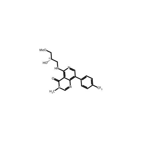 COC[C@@H](O)CNc1ncc(-c2ccc(C(F)(F)F)cc2)c2ncn(C)c(=O)c12